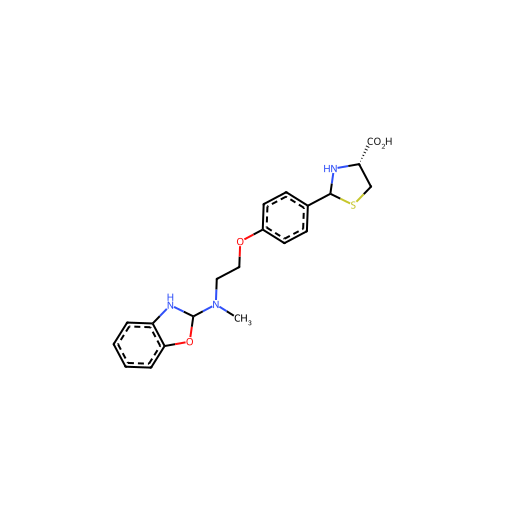 CN(CCOc1ccc(C2N[C@H](C(=O)O)CS2)cc1)C1Nc2ccccc2O1